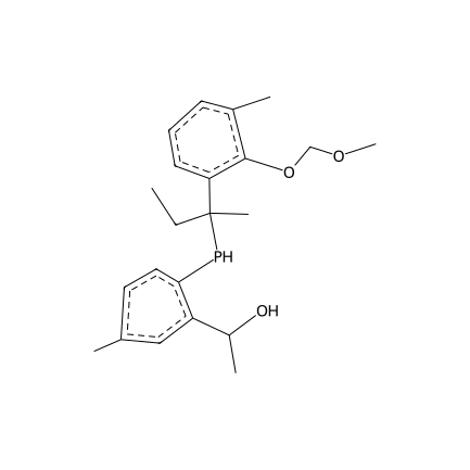 CCC(C)(Pc1ccc(C)cc1C(C)O)c1cccc(C)c1OCOC